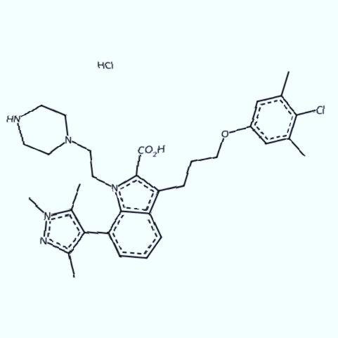 Cc1cc(OCCCc2c(C(=O)O)n(CCN3CCNCC3)c3c(-c4c(C)nn(C)c4C)cccc23)cc(C)c1Cl.Cl